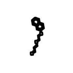 O=CCCOCCOc1ccc2ccccc2c1